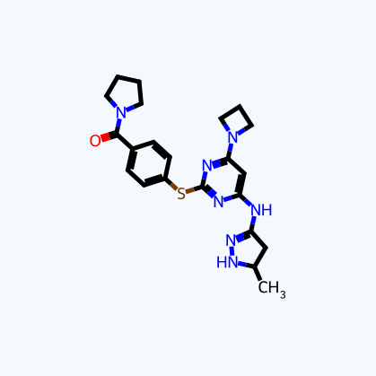 CC1CC(Nc2cc(N3CCC3)nc(Sc3ccc(C(=O)N4CCCC4)cc3)n2)=NN1